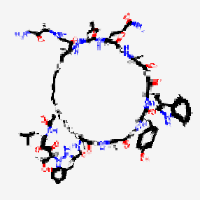 CC(=O)N[C@@H](CC(C)C)C(=O)C(=O)[C@@H](NN[C@@H](Cc1ccccc1)C(=O)N[C@]1(C)CCCCCCC=CCCC[C@@](C)(C(=O)CN[C@@H](C)C(=O)CN)NN[C@@H](CC(C)C)C(=O)N[C@@H](CCC(N)=O)C(=O)CN[C@@H](C)C(=O)CC(=O)[C@H](Cc2c[nH]c3ccccc23)NC(=O)[C@H](Cc2ccc(O)cc2)NCC(=O)[C@H](C)NCC1=O)[C@@H](C)O